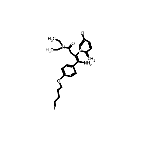 C=C1C=CC(Cl)=CN1/C(CC(=O)N(CC)CC)=C(\N)c1ccc(OCCCCF)cc1